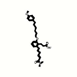 COc1ccc(CCCCC=COc2cccc(CCCCCC(=O)N(C)C)c2CCC(=O)O)cc1